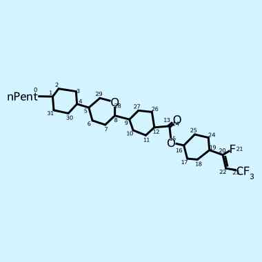 CCCCCC1CCC(C2CCC(C3CCC(C(=O)OC4CCC(/C(F)=C/C(F)(F)F)CC4)CC3)OC2)CC1